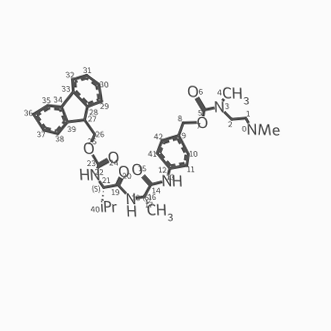 CNCCN(C)C(=O)OCc1ccc(NC(=O)[C@H](C)NC(=O)[C@@H](NC(=O)OCC2c3ccccc3-c3ccccc32)C(C)C)cc1